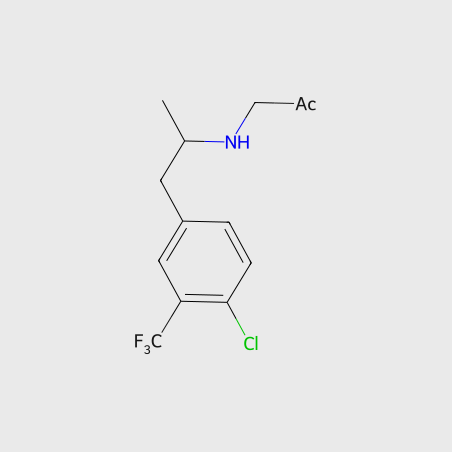 CC(=O)CNC(C)Cc1ccc(Cl)c(C(F)(F)F)c1